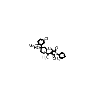 COc1ccc(Cl)cc1C1(O)CCN(C(C)c2c(Cl)c(=O)n(-c3ccccc3)n2C)CC1